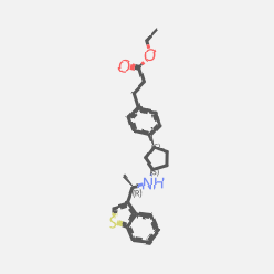 CCOC(=O)CCc1ccc([C@H]2CC[C@H](N[C@H](C)c3csc4ccccc34)C2)cc1